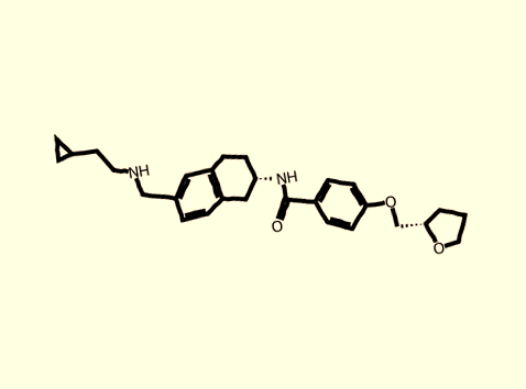 O=C(N[C@H]1CCc2cc(CNCCC3CC3)ccc2C1)c1ccc(OC[C@@H]2CCCO2)cc1